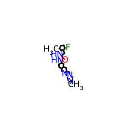 Cc1ccc(F)c2cc(C(=O)Nc3ccc4cnc(CN5CCN(C)CC5)cc4c3)[nH]c12